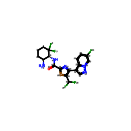 N[C@H]1CCCC(F)(F)[C@@H]1NC(=O)c1nc(-c2cnn3cc(F)ccc23)c(C(F)F)s1